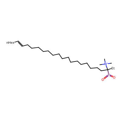 CCCCCCC=CCCCCCCCCCCCCCCCCC(CC)(P(=O)=O)[N+](C)(C)C